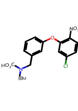 CC(C)(C)N(Cc1cccc(Oc2cc(Cl)ccc2[N+](=O)[O-])c1)C(=O)O